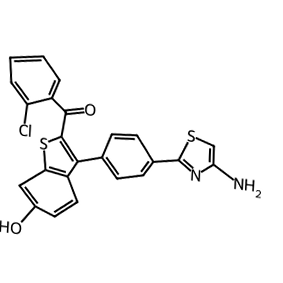 Nc1csc(-c2ccc(-c3c(C(=O)c4ccccc4Cl)sc4cc(O)ccc34)cc2)n1